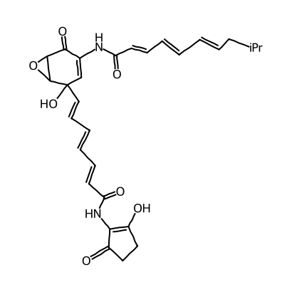 CC(C)C/C=C/C=C/C=C/C(=O)NC1=CC(O)(/C=C/C=C/C=C/C(=O)NC2=C(O)CCC2=O)C2OC2C1=O